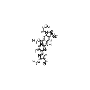 COc1cc(N2CCOCC2)c([N+](=O)[O-])cc1Nc1ncc(F)c(-n2cc(C=O)c(C)n2)n1